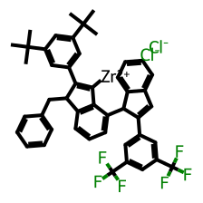 CC(C)(C)c1cc(C2=[C]([Zr+2])c3c(cccc3C3C(c4cc(C(F)(F)F)cc(C(F)(F)F)c4)=Cc4ccccc43)C2Cc2ccccc2)cc(C(C)(C)C)c1.[Cl-].[Cl-]